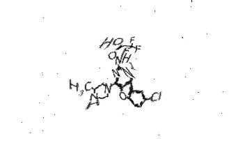 C[C@H]1CN(c2nc(N)nc3c2oc2ccc(Cl)cc23)CCN1.O=C(O)C(F)(F)F